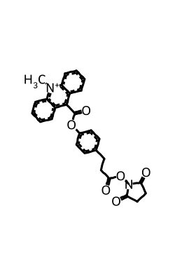 C[n+]1c2ccccc2c(C(=O)Oc2ccc(CCC(=O)ON3C(=O)CCC3=O)cc2)c2ccccc21